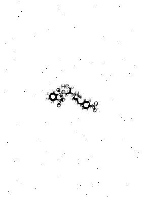 O=[N+]([O-])c1ccc(Cc2cn(C(CO)COS(=O)(=O)c3ccccc3[N+](=O)[O-])nn2)cc1